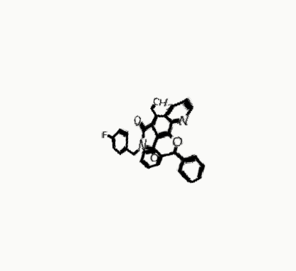 C=Cc1c2c(c(OC(c3ccccc3)c3ccccc3)c3ncccc13)C(=O)N(Cc1ccc(F)cc1)C2=O